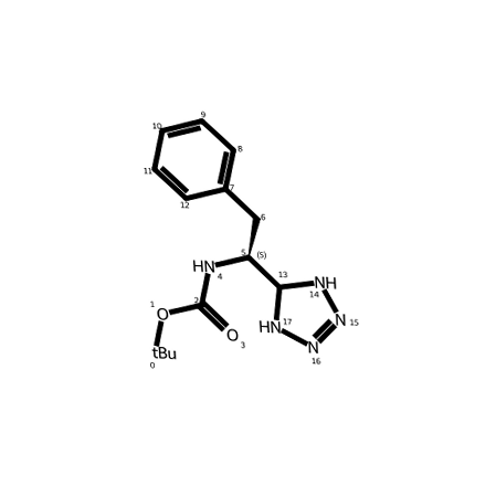 CC(C)(C)OC(=O)N[C@@H](Cc1ccccc1)C1NN=NN1